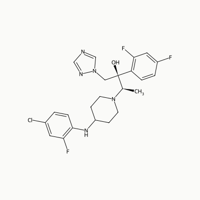 C[C@@H](N1CCC(Nc2ccc(Cl)cc2F)CC1)[C@](O)(Cn1cncn1)c1ccc(F)cc1F